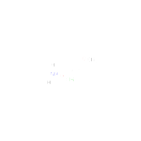 COc1ccc2cc(O[C@@H]3C[C@H]4C=C[C@@H](C3)N4)ccc2c1.Cl